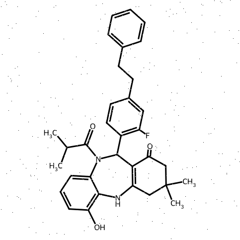 CC(C)C(=O)N1c2cccc(O)c2NC2=C(C(=O)CC(C)(C)C2)C1c1ccc(CCc2ccccc2)cc1F